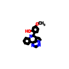 COc1ccc(C2=Nc3ccccc3-c3ncnn4ccc2c34)c(O)c1